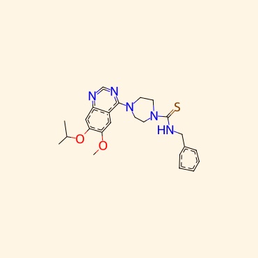 COc1cc2c(N3CCN(C(=S)NCc4ccccc4)CC3)ncnc2cc1OC(C)C